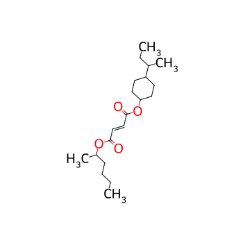 CCCCC(C)OC(=O)/C=C/C(=O)OC1CCC(C(C)CC)CC1